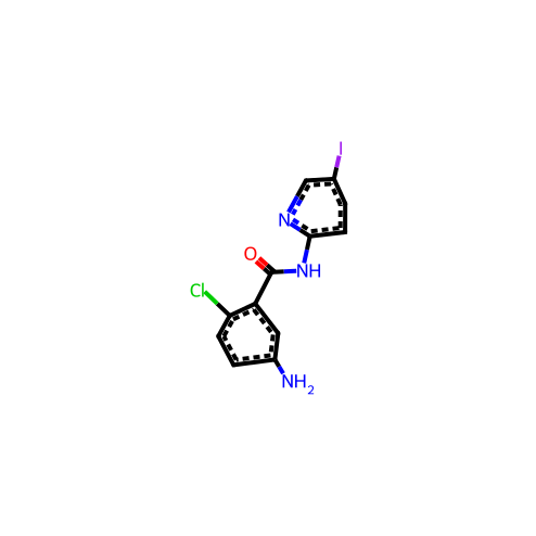 Nc1ccc(Cl)c(C(=O)Nc2ccc(I)cn2)c1